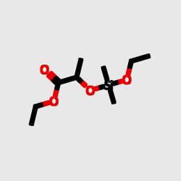 CCOC(=O)C(C)O[Si](C)(C)OCC